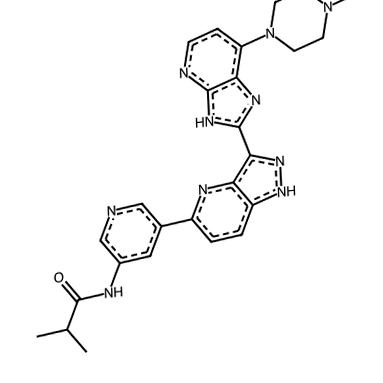 CC(C)C(=O)Nc1cncc(-c2ccc3[nH]nc(-c4nc5c(N6CCN(C)CC6)ccnc5[nH]4)c3n2)c1